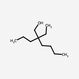 CCCCC(CC)(CO)CCC